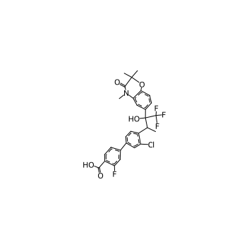 CC(c1ccc(-c2ccc(C(=O)O)c(F)c2)cc1Cl)C(O)(c1ccc2c(c1)N(C)C(=O)C(C)(C)O2)C(F)(F)F